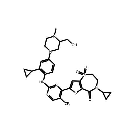 CN1CCN(c2ccc(Nc3ncc(C(F)(F)F)c(-c4cc5c(s4)C(=O)N(C4CC4)CCS5(=O)=O)n3)c(C3CC3)c2)CC1CO